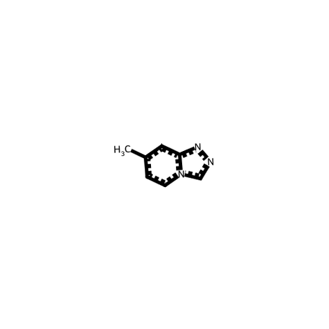 Cc1[c]c2nncn2cc1